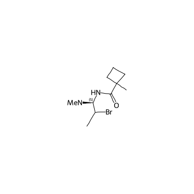 CN[C@@H](NC(=O)C1(C)CCC1)C(C)Br